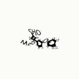 COC1(c2cccc(Oc3ccccc3)c2)CC(C=O)C1